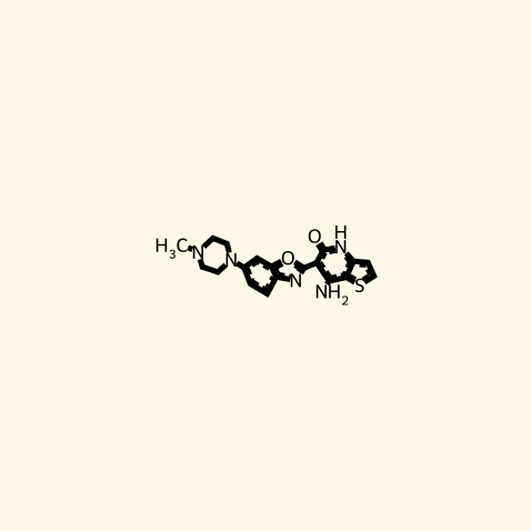 CN1CCN(c2ccc3nc(-c4c(N)c5sccc5[nH]c4=O)oc3c2)CC1